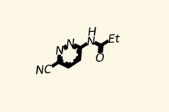 CCC(=O)Nc1ccc(C#N)nn1